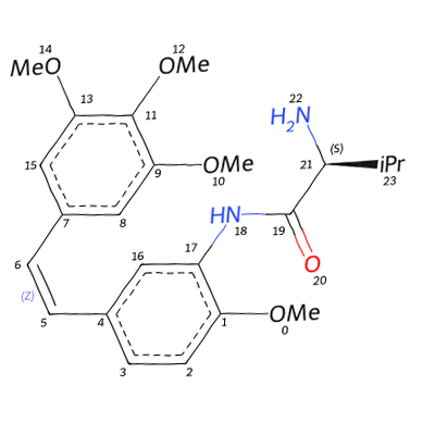 COc1ccc(/C=C\c2cc(OC)c(OC)c(OC)c2)cc1NC(=O)[C@@H](N)C(C)C